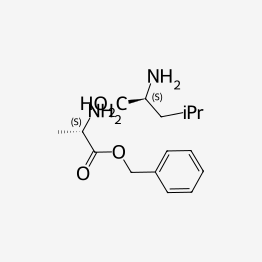 CC(C)C[C@H](N)C(=O)O.C[C@H](N)C(=O)OCc1ccccc1